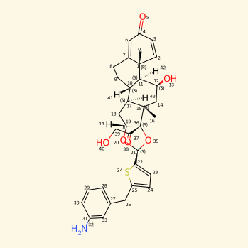 C[C@]12C=CC(=O)C=C1CC[C@@H]1[C@@H]2[C@@H](O)C[C@@]2(C)[C@H]1C[C@H]1O[C@H](c3ccc(Cc4cccc(N)c4)s3)O[C@]12C(=O)CO